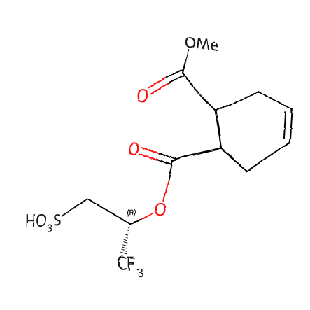 COC(=O)C1CC=CCC1C(=O)O[C@@H](CS(=O)(=O)O)C(F)(F)F